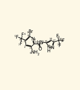 Nc1cc(C(F)(F)F)c(Br)nc1C(=O)Nc1cc(C(F)(F)F)n[nH]1